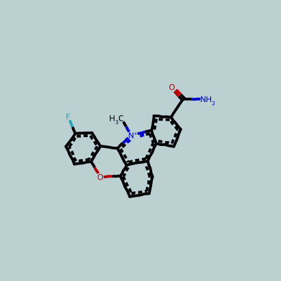 C[n+]1c2c3c(cccc3c3ccc(C(N)=O)cc31)Oc1ccc(F)cc1-2